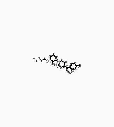 CCCOc1[c]ccc(N2CCC(c3noc4cc(F)ccc34)CC2)c1C